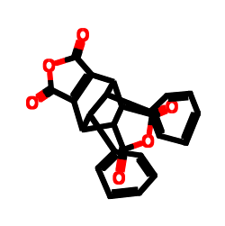 O=C1OC(=O)C2=C1C1C3C(=O)OC(=O)C3C2C(c2ccccc2)C1c1ccccc1